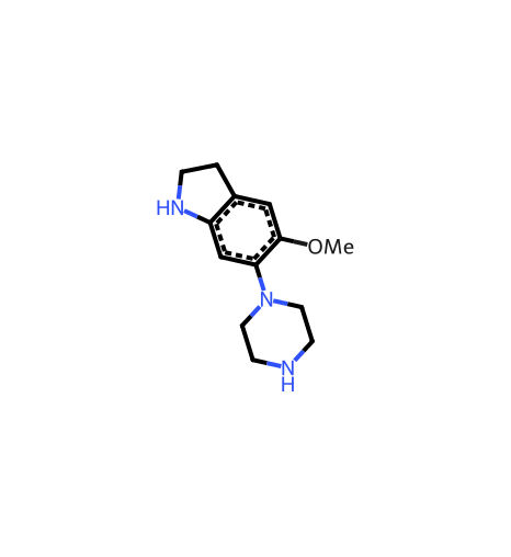 COc1cc2c(cc1N1CCNCC1)NCC2